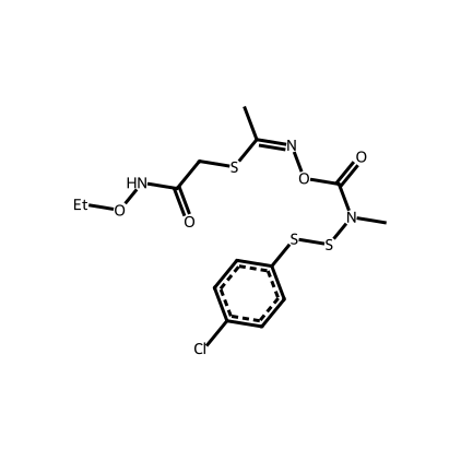 CCONC(=O)CSC(C)=NOC(=O)N(C)SSc1ccc(Cl)cc1